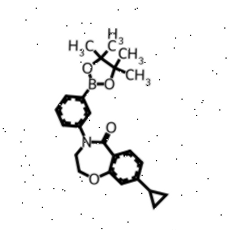 CC1(C)OB(c2cccc(N3CCOc4cc(C5CC5)ccc4C3=O)c2)OC1(C)C